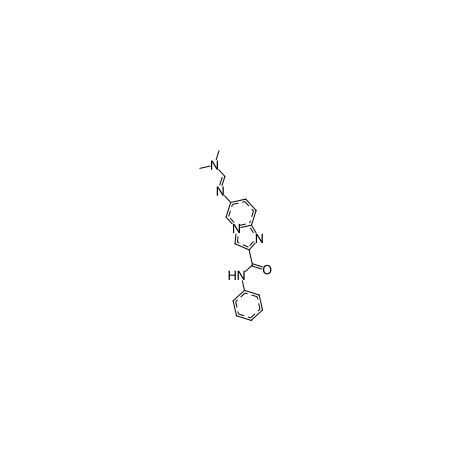 CN(C)C=Nc1ccc2nc(C(=O)Nc3ccccc3)cn2c1